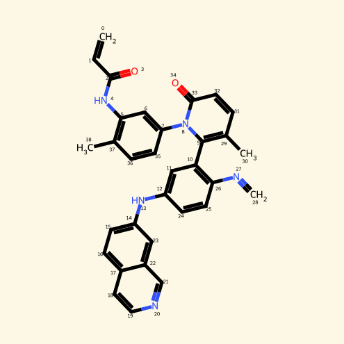 C=CC(=O)Nc1cc(-n2c(-c3cc(Nc4ccc5ccncc5c4)ccc3N=C)c(C)ccc2=O)ccc1C